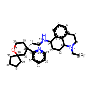 CC(C)CN1CCc2cccc3c2C1CCC3NCC[C@@]1(c2ccccn2)CCOC2(CCCC2)C1